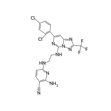 N#Cc1ccc(NCCNc2nc(-c3ccc(Cl)cc3Cl)cc3nc(C(F)(F)F)nn23)nc1N